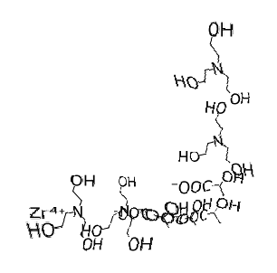 CC(O)C(=O)[O-].CC(O)C(=O)[O-].CC(O)C(=O)[O-].CC(O)C(=O)[O-].OCCN(CCO)CCO.OCCN(CCO)CCO.OCCN(CCO)CCO.OCCN(CCO)CCO.[Zr+4]